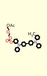 CC(=O)OCCOCCOC(=O)Oc1cccc(N(c2ccccc2)c2ccc(-c3ccc(N(c4ccccc4)c4cccc(C)c4)cc3)cc2)c1